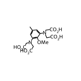 COc1c(N(CC(=O)O)CC(=O)O)cc(C)cc1N(CC(=O)O)CC(=O)O